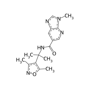 Cc1noc(C)c1C(C)(C)NC(=O)c1cnc2c(c1)ncn2C